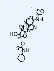 O[C@@H]1[C@H](O)[C@@H](COC(=S)NC2CCCCC2)O[C@H]1n1cnc2c(N[C@@H]3CCOC3)ncnc21